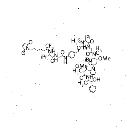 CC[C@H](C)[C@@H]([C@@H](CC(=O)N1CCC[C@H]1[C@H](OC)[C@@H](C)C(=O)N[C@H](C)[C@@H](O)c1ccccc1)OC)N(C)C(=O)CNC(=O)C(C(C)C)N(C)C(=O)OCc1ccc(NC(=O)CNC(=O)C(N[C@@H](CCCCCN2C(=O)C=CC2=O)C(F)(F)F)C(C)C)cc1